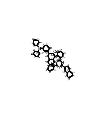 c1ccc(-c2nc(-c3ccc4ccccc4c3)nc(-c3cccc4oc5c(-c6cccc(N(c7ccccc7)c7ccccc7)c6)cc6ccccc6c5c34)n2)cc1